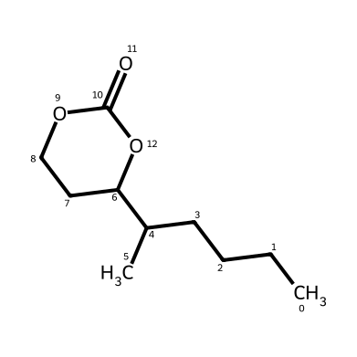 CCCCC(C)C1CCOC(=O)O1